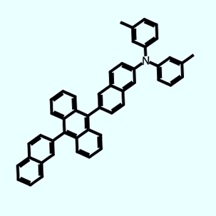 Cc1cccc(N(c2cccc(C)c2)c2ccc3cc(-c4c5ccccc5c(-c5ccc6ccccc6c5)c5ccccc45)ccc3c2)c1